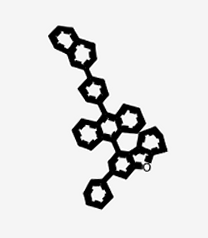 c1ccc(-c2cc(-c3c4ccccc4c(-c4ccc(-c5ccc6ccccc6c5)cc4)c4ccccc34)c3c(c2)oc2ccccc23)cc1